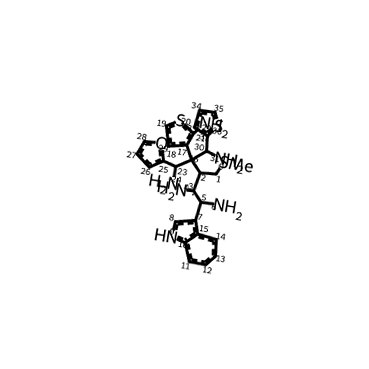 CSCC([C](N)C(N)c1c[nH]c2ccccc12)C(c1ccsc1N)(C(N)c1ccco1)C(N)c1cccs1